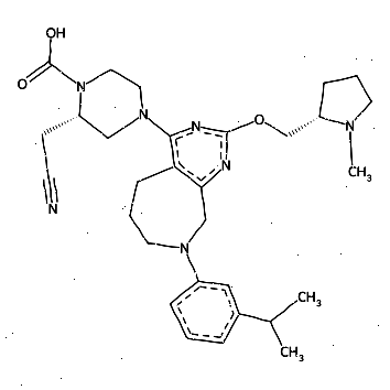 CC(C)c1cccc(N2CCCc3c(nc(OC[C@@H]4CCCN4C)nc3N3CCN(C(=O)O)[C@@H](CC#N)C3)C2)c1